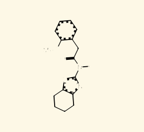 COc1ccccc1CC(=O)N(C)c1nc2c(s1)CCCC2